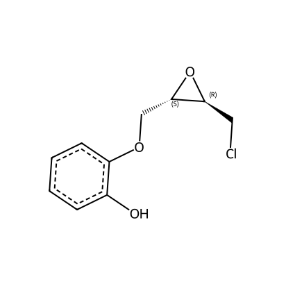 Oc1ccccc1OC[C@@H]1O[C@H]1CCl